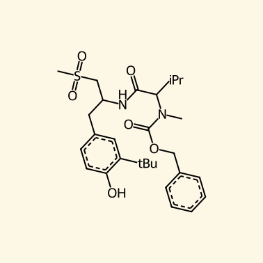 CC(C)C(C(=O)NC(Cc1ccc(O)c(C(C)(C)C)c1)CS(C)(=O)=O)N(C)C(=O)OCc1ccccc1